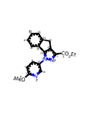 CCOC(=O)c1nn(-c2ccc(OC)nc2)c2c1Cc1ccccc1-2